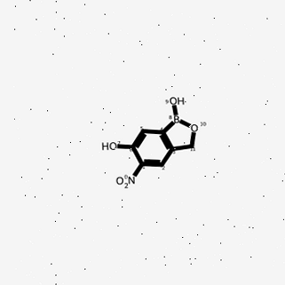 O=[N+]([O-])c1cc2c(cc1O)B(O)OC2